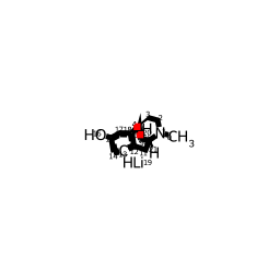 CN1CC[C@]23CCCC[C@H]2[C@H]1Cc1ccc(O)cc13.[LiH]